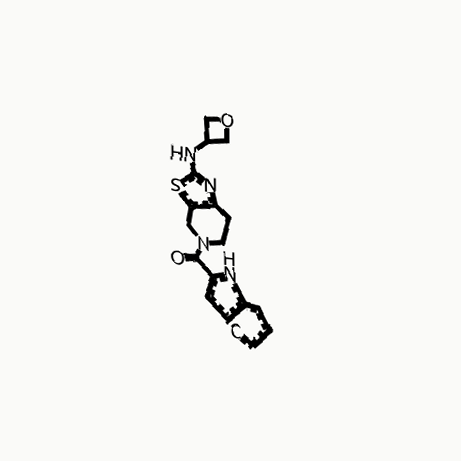 O=C(c1cc2ccccc2[nH]1)N1CCc2nc(NC3COC3)sc2C1